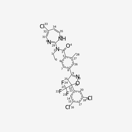 CCN(C(=O)c1ccc(C2=NOC(c3cc(Cl)cc(Cl)c3)(C(F)(F)F)C2)cc1C)C1=NC=C(Cl)C=CN1